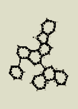 c1ccc(-c2cccc3c2cc(-c2cc4ccccc4c4ccccc24)c2ccc4c5ccccc5sc4c23)cc1